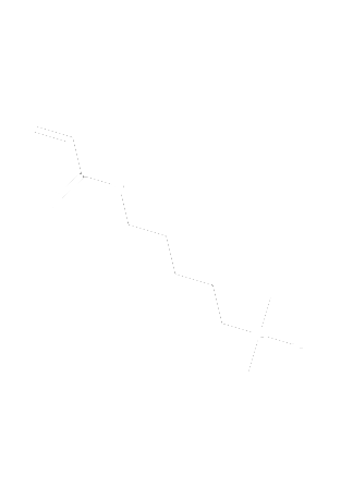 C=CC(=O)OCCCCC[Si](C)(C)Br